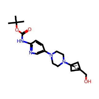 CC(C)(C)OC(=O)Nc1ccc(N2CCN(C34CC(CO)(C3)C4)CC2)cn1